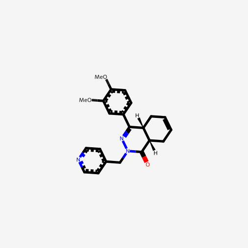 COc1ccc(C2=NN(Cc3ccncc3)C(=O)[C@H]3CC=CC[C@@H]23)cc1OC